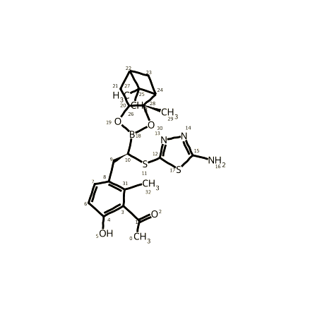 CC(=O)c1c(O)ccc(C[C@H](Sc2nnc(N)s2)B2OC3CC4CC(C4(C)C)[C@]3(C)O2)c1C